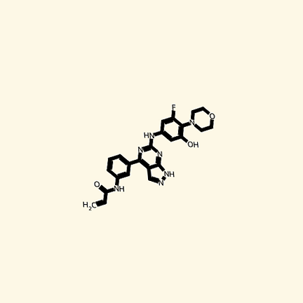 C=CC(=O)Nc1cccc(-c2nc(Nc3cc(O)c(N4CCOCC4)c(F)c3)nc3[nH]ncc23)c1